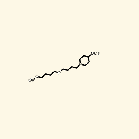 COC1CCN(CCCCOCCCCOC(C)(C)C)CC1